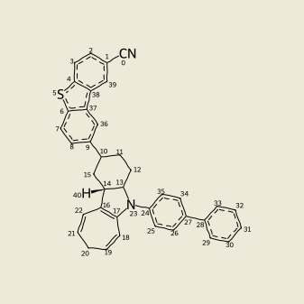 N#Cc1ccc2sc3ccc(C4CCC5[C@@H](C4)C4=C(C=CCC=C4)N5c4ccc(-c5ccccc5)cc4)cc3c2c1